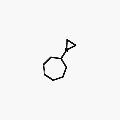 C1CCCC(N2CC2)CC1